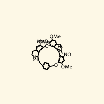 COc1cc(N=O)c2cc1Oc1ccc(cc1)CC[C@H]1c3cc(c(OC)cc3CCN1C)Oc1c(OC)c(OC)cc3c1[C@H](C2)N(C)CC3